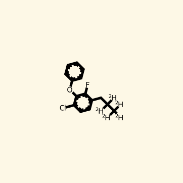 [2H]C([2H])([2H])C([2H])([2H])Cc1ccc(Cl)c(Oc2ccccc2)c1F